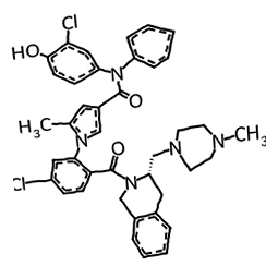 Cc1cc(C(=O)N(c2ccccc2)c2ccc(O)c(Cl)c2)cn1-c1cc(Cl)ccc1C(=O)N1Cc2ccccc2C[C@H]1CN1CCN(C)CC1